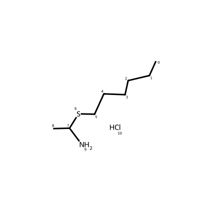 CCCCCCSC(C)N.Cl